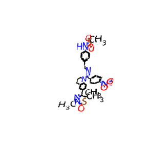 CN1N=C(c2ccc3c(c2)CCCN3/C(=N\Cc2ccc(NS(C)(=O)=O)cc2)c2ccc([N+](=O)[O-])cc2)C(C)(C)SC1=O